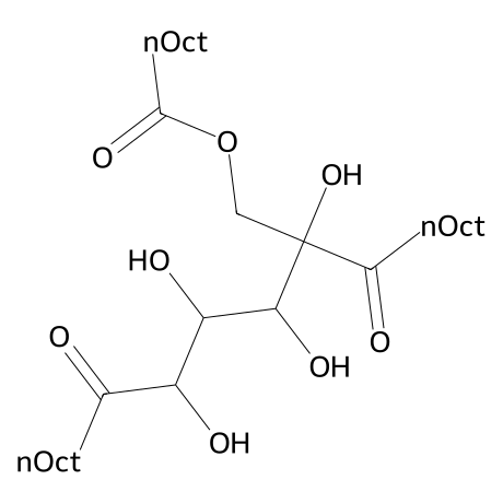 CCCCCCCCC(=O)OCC(O)(C(=O)CCCCCCCC)C(O)C(O)C(O)C(=O)CCCCCCCC